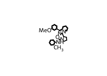 COc1cccc(-c2nc(C3CCCN3C(=O)Nc3ccccc3C)n3ccccc23)c1